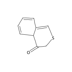 O=C1CSC=C2C=CC=CC12